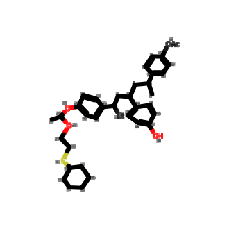 CCC(CC(CC(C)c1ccc(OC(C)=O)cc1)c1ccc(O)cc1)c1ccc(OC(C)OCCSC2CCCCC2)cc1